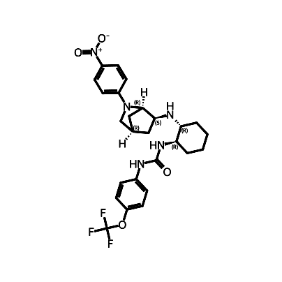 O=C(Nc1ccc(OC(F)(F)F)cc1)N[C@@H]1CCCC[C@H]1N[C@H]1C[C@@H]2C[C@H]1N(c1ccc([N+](=O)[O-])cc1)C2